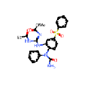 CCC(=O)NC(=NC(=O)OC)Nc1cc(S(=O)(=O)c2ccccc2)ccc1N(C(N)=O)c1ccccc1